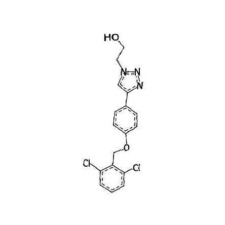 OCCn1cc(-c2ccc(OCc3c(Cl)cccc3Cl)cc2)nn1